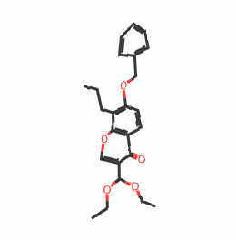 CCCc1c(OCc2ccccc2)ccc2c(=O)c(C(OCC)OCC)coc12